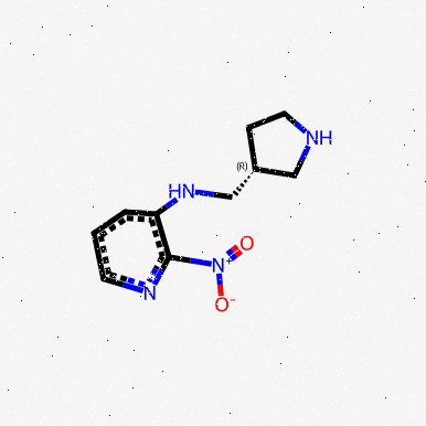 O=[N+]([O-])c1ncccc1NC[C@@H]1CCNC1